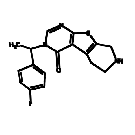 CC(c1ccc(F)cc1)n1cnc2sc3c(c2c1=O)CCNC3